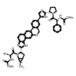 COC(=O)N[C@H](C(=O)N1C2C(C[C@H]1c1nc3ccc4cc5c(cc4c3[nH]1)OCc1cc(-c3cnc([C@@H]4CCCN4C(=O)[C@H](NC(=O)OC)c4ccccc4)[nH]3)ccc1-5)[C@H]2C)C(C)C